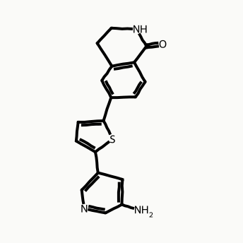 Nc1cncc(-c2ccc(-c3ccc4c(c3)CCNC4=O)s2)c1